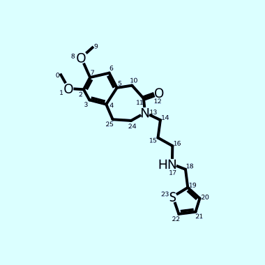 COc1cc2c(cc1OC)CC(=O)N(CCCNCc1cccs1)CC2